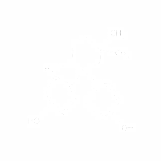 CC1CCC(C)(C)CC1(c1ccc(O)cc1)c1ccc(O)cc1